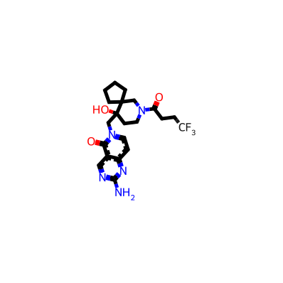 Nc1ncc2c(=O)n(CC3(O)CCN(C(=O)CCC(F)(F)F)CC34CCCC4)ccc2n1